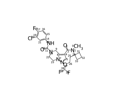 CN(C(=O)c1cnn2c1CN(C(=O)Nc1ccc(F)c(Cl)c1)CC2)C1(CCOC(F)F)CCC1